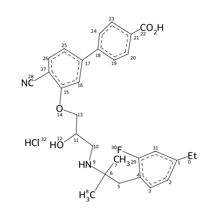 CCc1ccc(CC(C)(C)NCC(O)COc2cc(-c3ccc(C(=O)O)cc3)ccc2C#N)c(F)c1.Cl